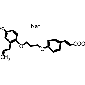 C=CCc1cc(C(C)=O)ccc1OCCCOc1ccc(C=CC(=O)[O-])cc1.[Na+]